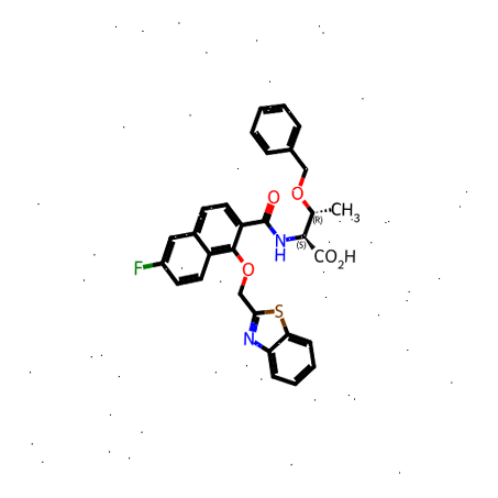 C[C@@H](OCc1ccccc1)[C@H](NC(=O)c1ccc2cc(F)ccc2c1OCc1nc2ccccc2s1)C(=O)O